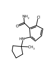 CC1(Nc2cccc(Cl)c2C(N)=O)CCCC1